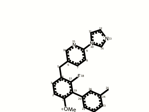 COc1ccc(Cc2ccc(-n3ccnc3)nc2)c(F)c1-c1cccc(C)c1